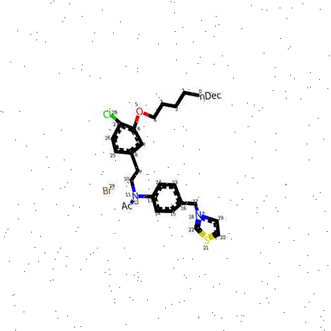 CCCCCCCCCCCCCCOc1cc(CCN(C(C)=O)c2ccc(C[n+]3ccsc3)cc2)ccc1Cl.[Br-]